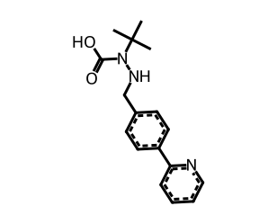 CC(C)(C)N(NCc1ccc(-c2ccccn2)cc1)C(=O)O